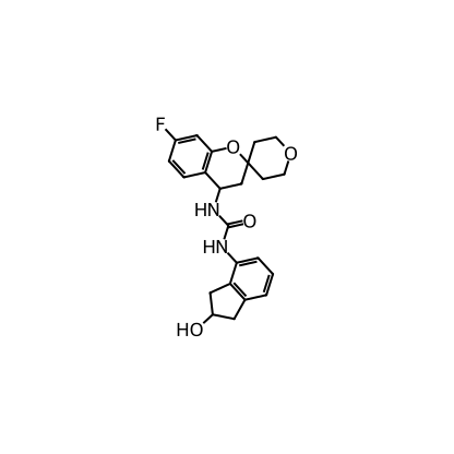 O=C(Nc1cccc2c1CC(O)C2)NC1CC2(CCOCC2)Oc2cc(F)ccc21